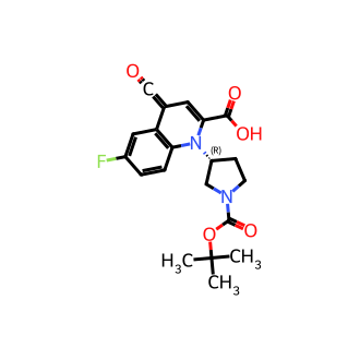 CC(C)(C)OC(=O)N1CC[C@@H](N2C(C(=O)O)=CC(=C=O)c3cc(F)ccc32)C1